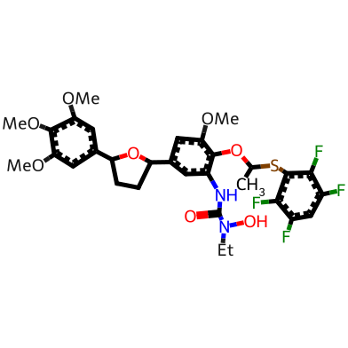 CCN(O)C(=O)Nc1cc(C2CCC(c3cc(OC)c(OC)c(OC)c3)O2)cc(OC)c1OC(C)Sc1c(F)c(F)cc(F)c1F